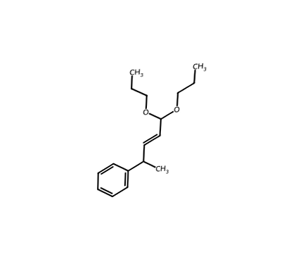 CCCOC(/C=C/C(C)c1ccccc1)OCCC